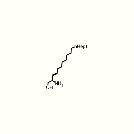 CCCCCCCCCCCCCC/C=C/C(N)CO